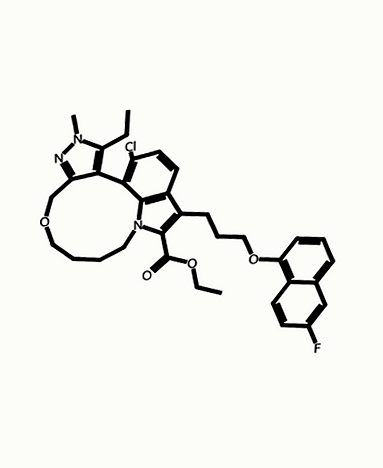 CCOC(=O)c1c(CCCOc2cccc3cc(F)ccc23)c2ccc(Cl)c3c2n1CCCCOCc1nn(C)c(CC)c1-3